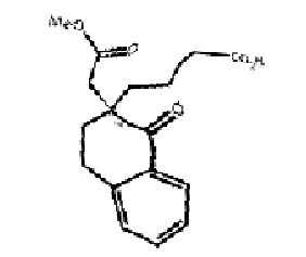 COC(=O)C[C@]1(CCCC(=O)O)CCc2ccccc2C1=O